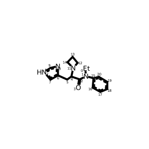 CCN(C(=O)C(Cc1c[nH]cn1)N1CCC1)c1ccccc1